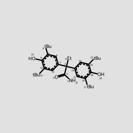 CCC(C(N)=O)(c1cc(C(C)(C)C)c(O)c(C(C)(C)C)c1)c1cc(C(C)(C)C)c(O)c(C(C)(C)C)c1